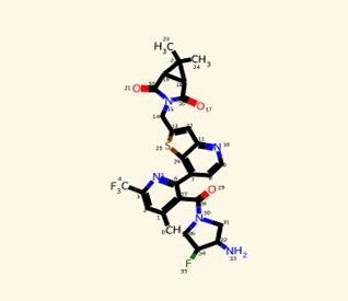 Cc1cc(C(F)(F)F)nc(-c2ccnc3cc(CN4C(=O)C5C(C4=O)C5(C)C)sc23)c1C(=O)N1CC(N)C(F)C1